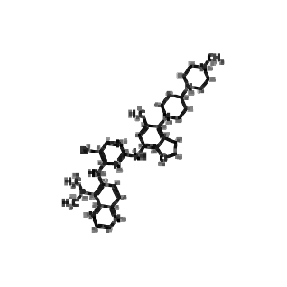 Cc1cc(Nc2ncc(Br)c(Nc3ccc4nccnc4c3P(C)C)n2)c2c(c1N1CCC(N3CCN(C)CC3)CC1)CCO2